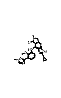 COc1c(Nc2c3c(nc4[nH]c(C5CC5)nc24)CN(C)C3=O)cccc1-c1ncn(C)n1